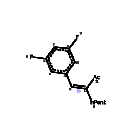 CCCCC/C(=C/c1cc(F)cc(F)c1)C(C)=O